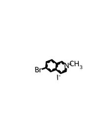 C[n+]1ccc2cc(Br)ccc2c1.[I-]